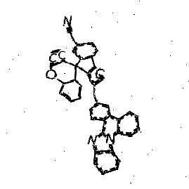 N#Cc1ccc2c(c1)C1(c3ccccc3OC3C=CC=CC31)c1cc(-c3ccc4c(c3)c3ccccc3n3c5ccccc5nc43)ccc1-2